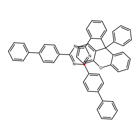 c1ccc(-c2ccc(-c3nc(-c4ccc(-c5ccccc5)cc4)nc(-c4ccccc4C4(c5ccccc5)c5ccccc5Oc5ccccc54)n3)cc2)cc1